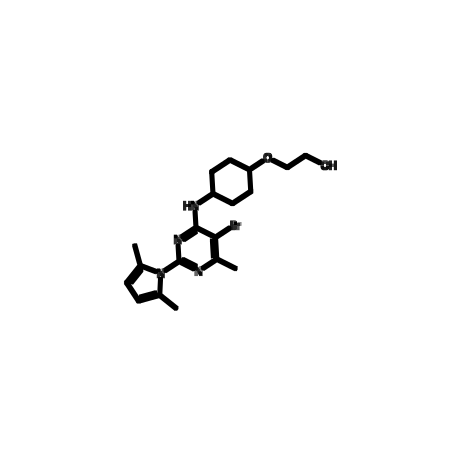 Cc1nc(-n2c(C)ccc2C)nc(NC2CCC(OCCO)CC2)c1Br